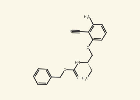 CC[C@@H](COc1cccc(N)c1C#N)NC(=O)OCc1ccccc1